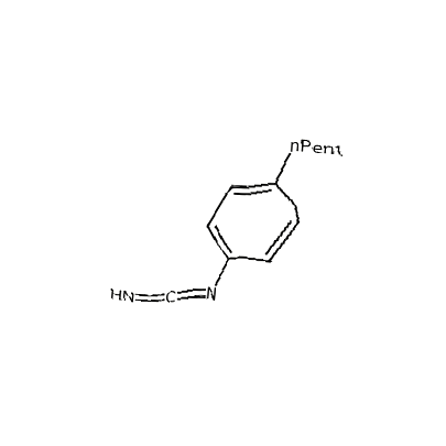 CCCCCc1ccc(N=C=N)cc1